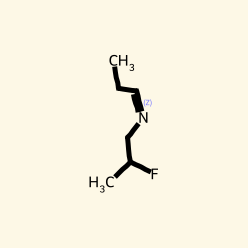 CC/C=N\CC(C)F